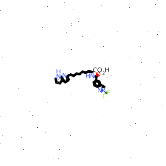 O=C(N[C@@H](CCCCCCCc1ccc2c(n1)NCCC2)C(=O)O)c1ccc2nn(C(F)F)cc2c1